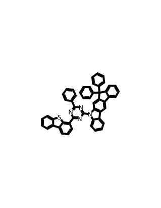 c1ccc(-c2nc(-c3cccc4c3sc3ccccc34)nc(-n3c4ccccc4c4cc5c(cc43)C(c3ccccc3)(c3ccccc3)c3ccccc3-5)n2)cc1